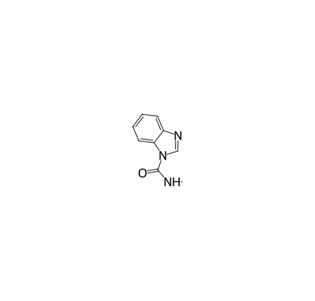 [NH]C(=O)n1cnc2ccccc21